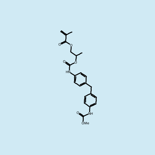 C=C(C)C(=O)OCC(C)OC(=O)Nc1ccc(Cc2ccc(NC(=O)OC)cc2)cc1